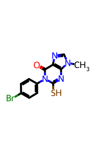 Cn1cnc2c(=O)n(-c3ccc(Br)cc3)c(S)nc21